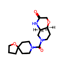 O=C1CO[C@H]2CCN(C(=O)N3CCC4(CCCO4)CC3)C[C@H]2N1